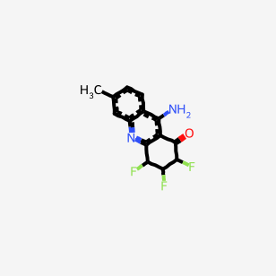 Cc1ccc2c(N)c3c(nc2c1)C(F)C(F)C(F)C3=O